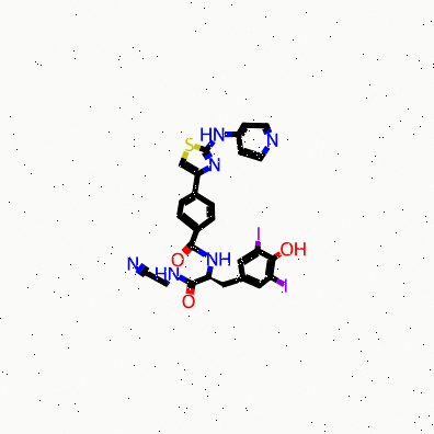 N#CCNC(=O)[C@H](Cc1cc(I)c(O)c(I)c1)NC(=O)c1ccc(-c2csc(Nc3ccncc3)n2)cc1